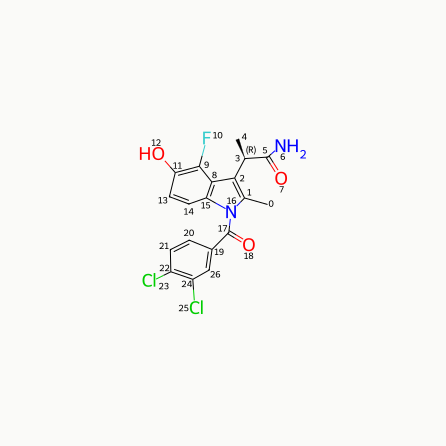 Cc1c([C@@H](C)C(N)=O)c2c(F)c(O)ccc2n1C(=O)c1ccc(Cl)c(Cl)c1